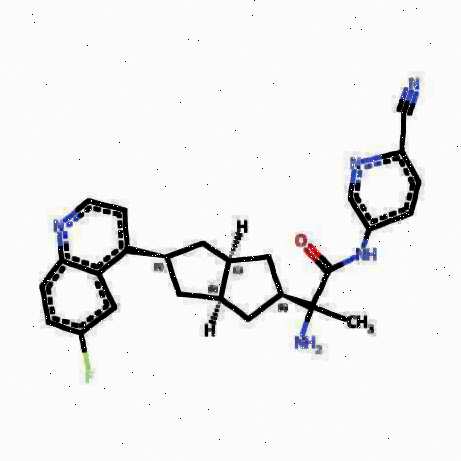 CC(N)(C(=O)Nc1ccc(C#N)nc1)[C@H]1C[C@H]2C[C@@H](c3ccnc4ccc(F)cc34)C[C@H]2C1